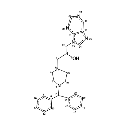 OC(CN1CCN(C(c2ccccc2)c2ccccc2)CC1)Cn1cnc2cncnc21